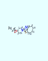 COC1CCN(C2=NC3CCCCC(C3)S2)CC1